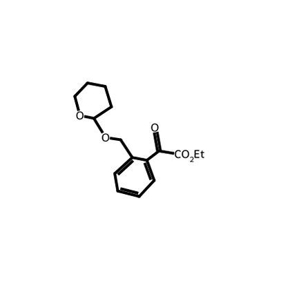 CCOC(=O)C(=O)c1ccccc1COC1CCCCO1